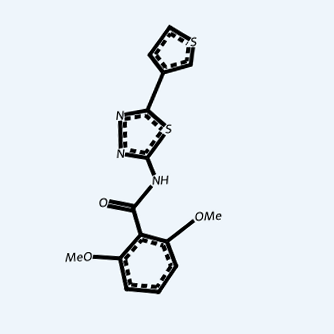 COc1cccc(OC)c1C(=O)Nc1nnc(-c2ccsc2)s1